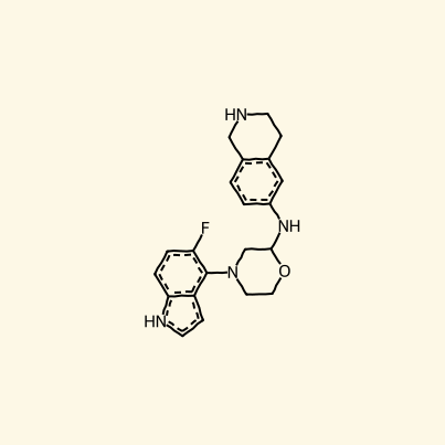 Fc1ccc2[nH]ccc2c1N1CCOC(Nc2ccc3c(c2)CCNC3)C1